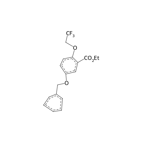 CCOC(=O)c1cc(OCc2ccccc2)ccc1OCC(F)(F)F